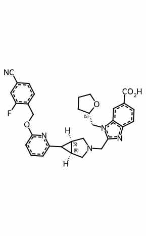 N#Cc1ccc(COc2cccc(C3[C@H]4CN(Cc5nc6ccc(C(=O)O)cc6n5C[C@@H]5CCCO5)C[C@@H]34)n2)c(F)c1